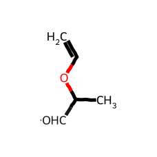 C=COC(C)[C]=O